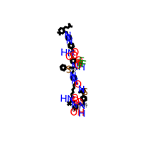 C=C(C)CCC1=C(CN2CCN(c3ccc(C(=O)NS(=O)(=O)c4ccc(N[C@H](CCN5CCN(C(=O)CCCCCC(=O)NC(C(=O)N6C[C@H](O)C[C@H]6C(=O)N[C@@H](C)c6ccc(-c7scnc7C)cc6)C(C)(C)C)CC5)CSc5ccccc5)c(S(=O)(=O)C(F)(F)F)c4)cc3)CC2)CC(C)(C)CC1